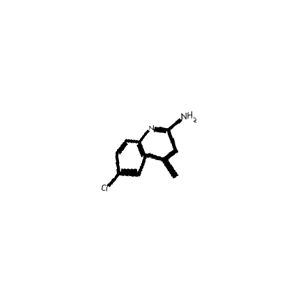 C=C1CC(N)=Nc2ccc(Cl)cc21